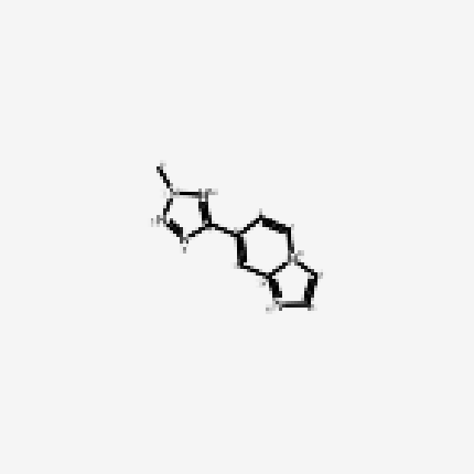 Cn1nnc(-c2ccn3ccnc3c2)n1